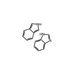 c1ccc2[nH]cnc2c1.c1ccc2c[nH]cc2c1